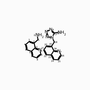 NCc1cccc2cccnc12.Nc1nnnn1Cc1cccc2cccnc12